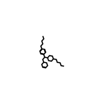 CCCCCc1ccc(C(CC2CC=CCC2)C2CCC(CCCCC)CC2)cc1